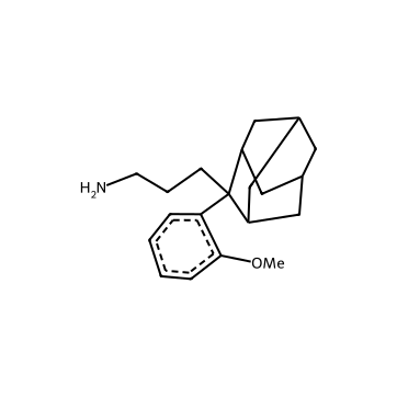 COc1ccccc1C1(CCCN)C2CC3CC(C2)CC1C3